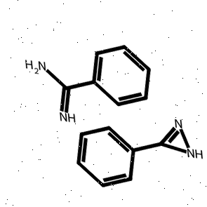 N=C(N)c1ccccc1.c1ccc(C2=NN2)cc1